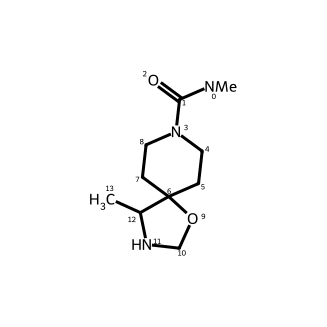 CNC(=O)N1CCC2(CC1)OCNC2C